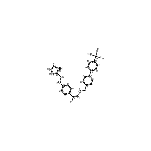 CC(=NOCc1ccc(-c2ccc(C(F)(F)F)cc2)cc1)c1ccc(OCc2nnn[nH]2)cc1